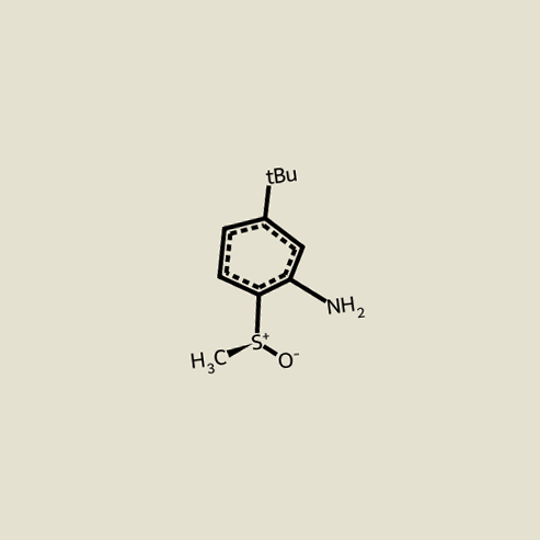 C[S@+]([O-])c1ccc(C(C)(C)C)cc1N